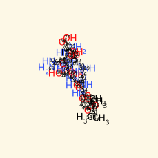 COc1ccc(C[C@H](NC(=O)[C@H](CC(=O)O)N[C@H](O)CNC(=O)[C@H](CCCNC(=N)N)NC(=O)CNC(=O)O[C@@H]2CC[C@]3(CO3)[C@@H]([C@@]3(C)O[C@@H]3CCC(C)C)[C@@H]2OC)C(=O)N[C@@H](CCCNC(=N)N)C(=O)N[C@@H](CCC(=O)O)[C@H](N)O)cc1